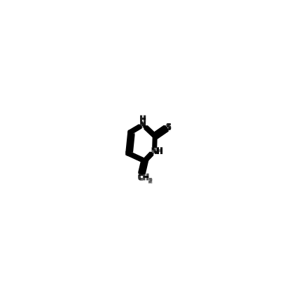 C=C1C=CNC(=S)N1